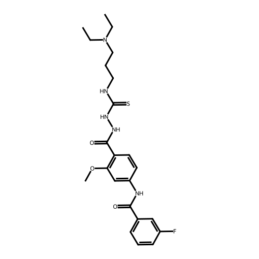 CCN(CC)CCCNC(=S)NNC(=O)c1ccc(NC(=O)c2cccc(F)c2)cc1OC